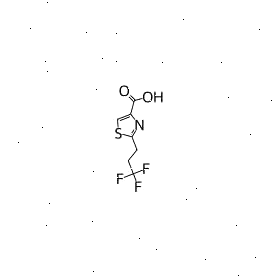 O=C(O)c1csc(CCC(F)(F)F)n1